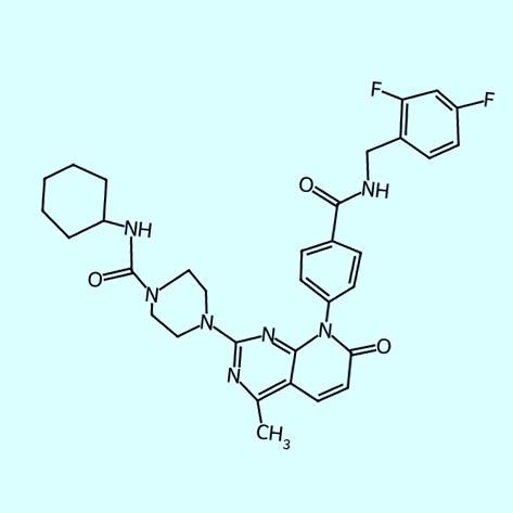 Cc1nc(N2CCN(C(=O)NC3CCCCC3)CC2)nc2c1ccc(=O)n2-c1ccc(C(=O)NCc2ccc(F)cc2F)cc1